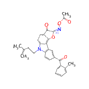 C=C(C)CCn1c2ccc(C(=O)c3ccccc3C)cc2c2c3c(ccc21)C(=O)/C(=N\OC(C)=O)O3